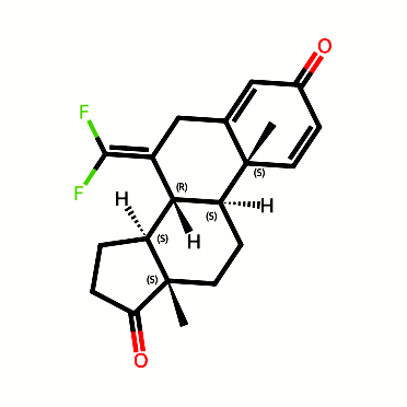 C[C@]12C=CC(=O)C=C1CC(=C(F)F)[C@@H]1[C@@H]2CC[C@]2(C)C(=O)CC[C@@H]12